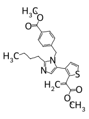 C=C(C(=O)OC)c1sccc1-c1cnc(CCCC)n1Cc1ccc(C(=O)OC)cc1